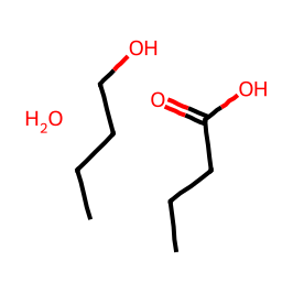 CCCC(=O)O.CCCCO.O